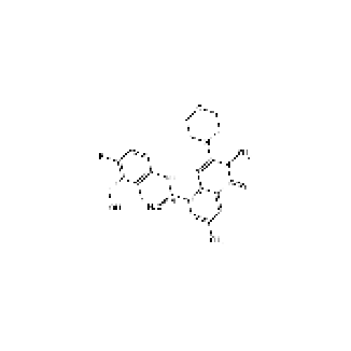 Cc1cc([C@@H](C)Nc2ccc(F)c(CO)c2F)c2nc(N3CCOCC3)n(C)c(=O)c2c1